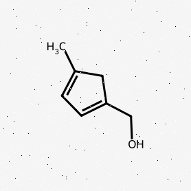 CC1=CC=C(CO)C1